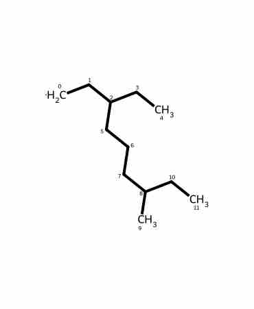 [CH2]CC(CC)CCCC(C)CC